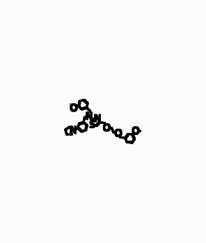 COc1cccc(COCCOCc2csc(N(Cc3cccc(OC)c3)Cc3cccc(N4CCCC4)c3)n2)c1